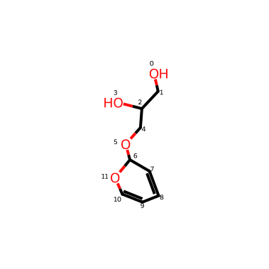 OCC(O)COC1C=CC=CO1